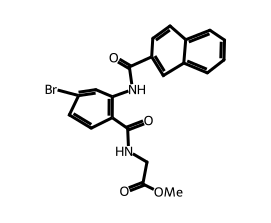 COC(=O)CNC(=O)c1ccc(Br)cc1NC(=O)c1ccc2ccccc2c1